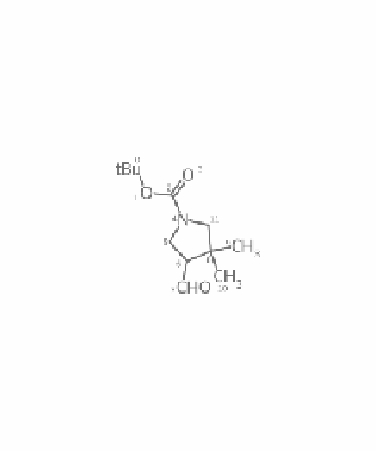 CC(C)(C)OC(=O)N1CC(C=O)C(C)(C)C1